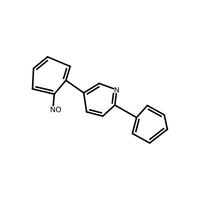 O=Nc1ccccc1-c1ccc(-c2ccccc2)nc1